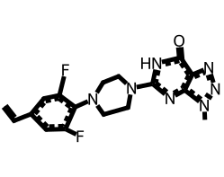 C=Cc1cc(F)c(N2CCN(c3nc4c(nnn4C)c(=O)[nH]3)CC2)c(F)c1